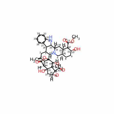 C=C(CC1CN2C[C@@H]3CC[C@H](O)[C@H](C(=O)OC)[C@H]3C[C@H]2C2Nc3ccccc3C12)C1[C@H]2OC(=O)[C@@H]1C1(O)C[C@H]3O[C@]34C(=O)O[C@H]2[C@]14C